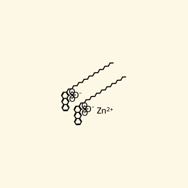 CCCCCCCCCCCCCCCCCCc1ccc2cc3ccccc3cc2c1S(=O)(=O)[O-].CCCCCCCCCCCCCCCCCCc1ccc2cc3ccccc3cc2c1S(=O)(=O)[O-].[Zn+2]